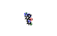 NCCCc1cc2ccc(F)cn2c(=O)c1-c1cccc(F)c1